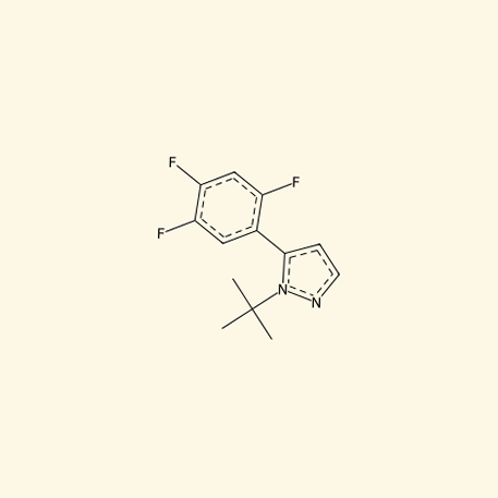 CC(C)(C)n1nccc1-c1cc(F)c(F)cc1F